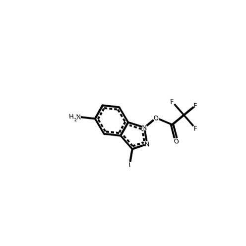 Nc1ccc2c(c1)c(I)nn2OC(=O)C(F)(F)F